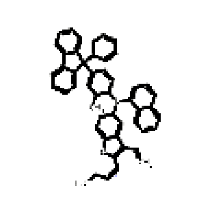 C=Cc1c(/C=C\CC)oc2c1=CC(N(c1cccc3ccccc13)C1C=CC(C3(C4C=CC=CC4)c4ccccc4-c4ccccc43)=CC1C)CC=2